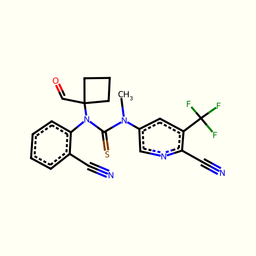 CN(C(=S)N(c1ccccc1C#N)C1(C=O)CCC1)c1cnc(C#N)c(C(F)(F)F)c1